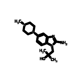 CN1CCN(c2ccc3c(c2)nc(N)n3CC(C)(C)O)CC1